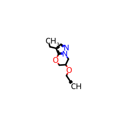 C#CCOC1COc2c(CC)cnn2C1